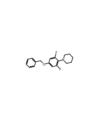 Fc1cc(OCc2ccccc2)cc(F)c1N1CCCCC1